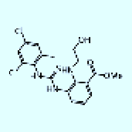 COC(=O)c1cccc(NC(=S)Nc2c(C)cc(Cl)cc2Cl)c1NCCO